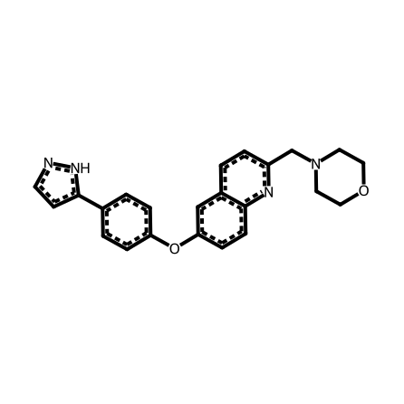 c1cc(-c2ccc(Oc3ccc4nc(CN5CCOCC5)ccc4c3)cc2)[nH]n1